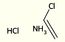 C=CCl.Cl.N